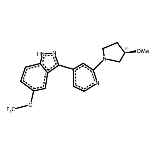 CO[C@@H]1CCN(c2cc(-c3n[nH]c4ccc(OC(F)(F)F)cc34)ccn2)C1